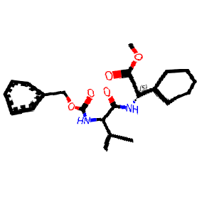 COC(=O)[C@@H](NC(=O)C(NC(=O)OCc1ccccc1)C(C)C)C1CCCCC1